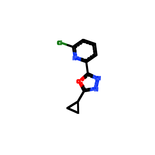 Clc1cccc(-c2nnc(C3CC3)o2)n1